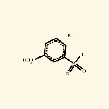 O=C(O)c1cccc(S(=O)(=O)[O-])c1.[K+]